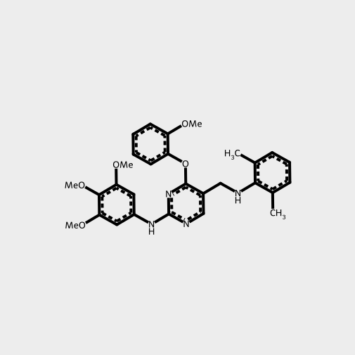 COc1ccccc1Oc1nc(Nc2cc(OC)c(OC)c(OC)c2)ncc1CNc1c(C)cccc1C